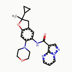 CC1(C2CC2)Cc2cc(NC(=O)c3cnn4cccnc34)c(N3CCOCC3)cc2O1